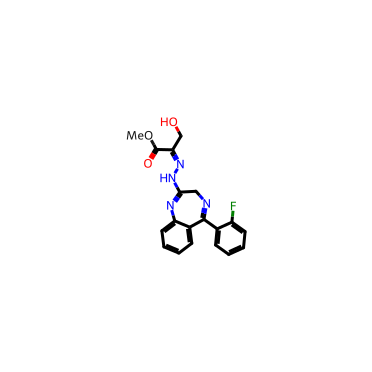 COC(=O)/C(CO)=N\NC1=Nc2ccccc2C(c2ccccc2F)=NC1